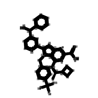 C[C@@H](Nc1nc(C(=O)O)nc2nc(-c3cc(C(O)c4ccccc4)ccn3)n(Cc3ccc(C(F)(F)F)cc3)c12)C1CCC1